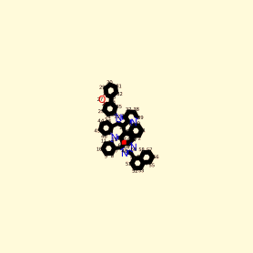 c1ccc(-c2cc(-c3ccccc3N3c4ccccc4-c4c(n(-c5ccc6oc7ccccc7c6c5)c5cccnc45)-c4ccccc43)nc(-c3cccc4ccccc34)n2)cc1